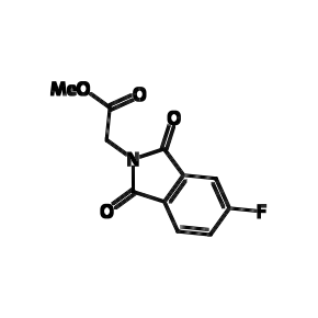 COC(=O)CN1C(=O)c2ccc(F)cc2C1=O